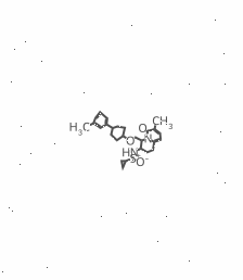 Cc1cccc(C2CCC(OCC3C(N[S+]([O-])C4CC4)CCc4ccc(C)c(=O)n43)CC2)c1